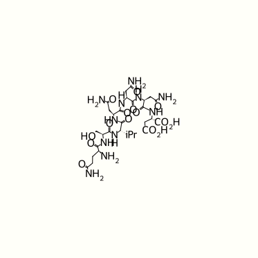 CC(C)[C@H](NC(=O)[C@H](CO)NC(=O)[C@@H](N)CCC(N)=O)C(=O)N[C@@H](CC(N)=O)C(=O)N[C@@H](CC(N)=O)C(=O)N[C@@H](CC(N)=O)C(=O)N[C@@H](CC(=O)O)C(=O)O